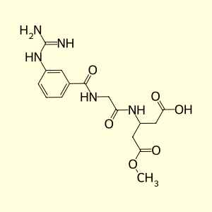 COC(=O)CC(CC(=O)O)NC(=O)CNC(=O)c1cccc(NC(=N)N)c1